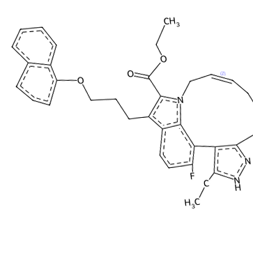 CCOC(=O)c1c(CCCOc2cccc3ccccc23)c2ccc(F)c3c2n1C/C=C\COCc1n[nH]c(CC)c1-3